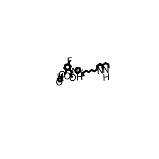 OC(O)C(c1cc(F)ccc1COC1COC1)N1CC[C@@H](C(F)CCCCc2ccc3c(n2)NCCC3)C1